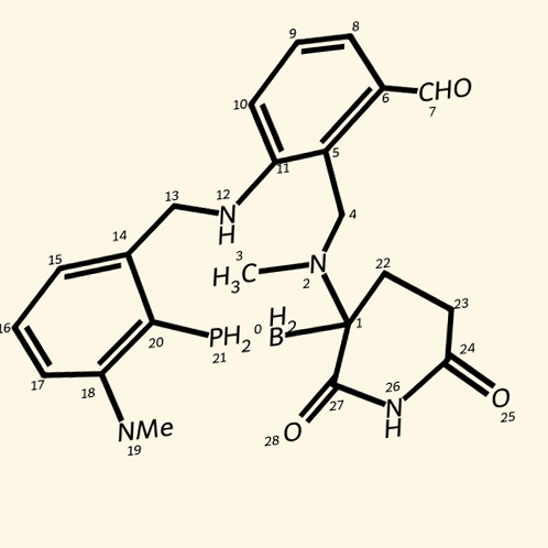 BC1(N(C)Cc2c(C=O)cccc2NCc2cccc(NC)c2P)CCC(=O)NC1=O